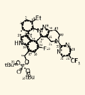 CCc1cccc(CC)c1-n1nc2c(c1-c1c(F)cc(COP(=O)(OC(C)(C)C)OC(C)(C)C)c3[nH]ccc13)CN(c1ncc(C(F)(F)F)cn1)CC2